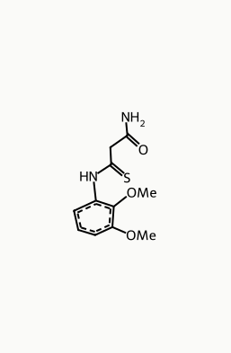 COc1cccc(NC(=S)CC(N)=O)c1OC